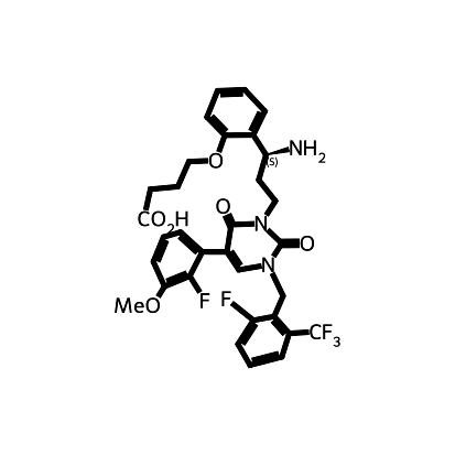 COc1cccc(-c2cn(Cc3c(F)cccc3C(F)(F)F)c(=O)n(CC[C@H](N)c3ccccc3OCCCC(=O)O)c2=O)c1F